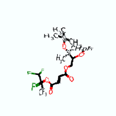 CCCOC(COC(=O)C=CC(=O)OC(F)(C(F)F)C(F)(F)F)[Si](C)(C)O[Si](C)(C)C